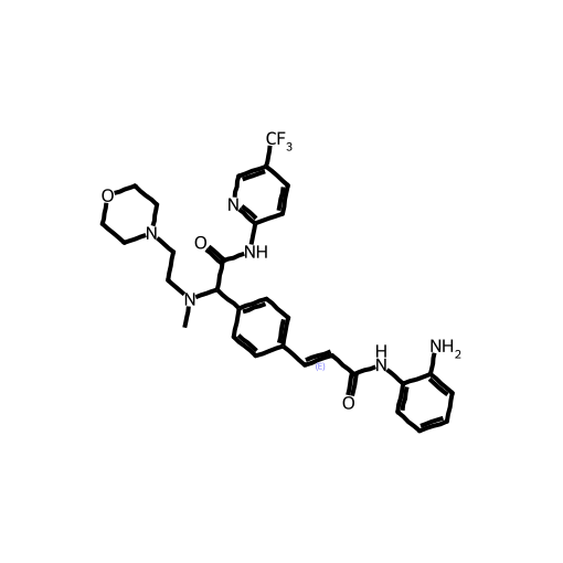 CN(CCN1CCOCC1)C(C(=O)Nc1ccc(C(F)(F)F)cn1)c1ccc(/C=C/C(=O)Nc2ccccc2N)cc1